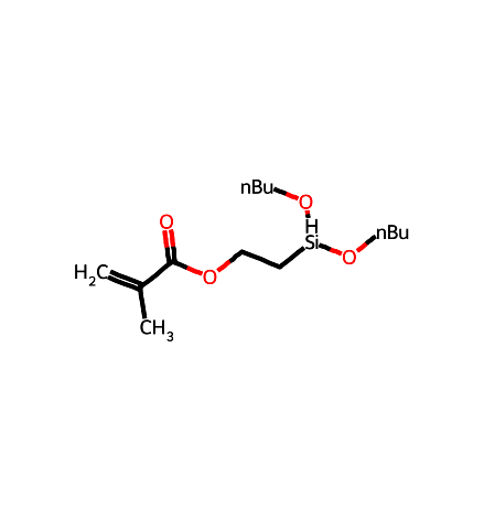 C=C(C)C(=O)OCC[SiH](OCCCC)OCCCC